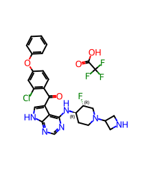 O=C(O)C(F)(F)F.O=C(c1ccc(Oc2ccccc2)cc1Cl)c1c[nH]c2ncnc(N[C@@H]3CCN(C4CNC4)C[C@H]3F)c12